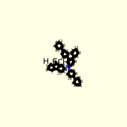 CC1(C)c2ccccc2-c2ccc(N(c3ccc(-c4ccccc4)cc3)c3ccc(-c4ccccc4)c(-c4ccc(-c5ccccc5)cc4)c3)cc21